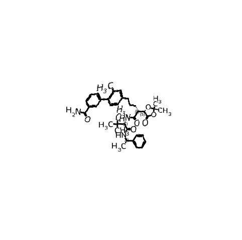 Cc1cc(CCC[C@@H](C(=O)N[C@H](C(=O)N[C@H](C)c2ccccc2)C(C)(C)C)[C@@H]2OC(C)(C)OC2=O)ccc1-c1cccc(C(N)=O)c1